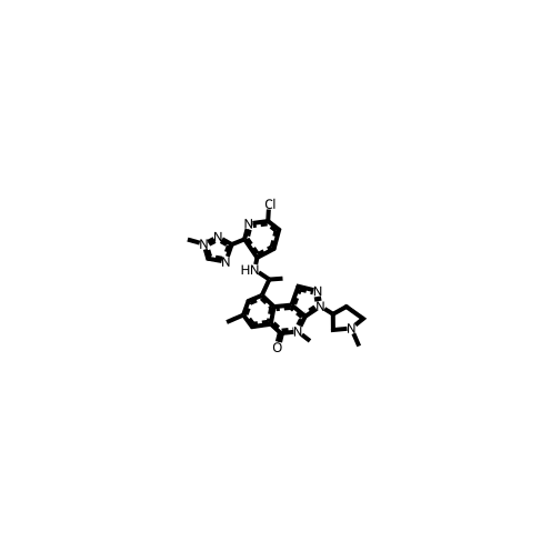 Cc1cc(C(C)Nc2ccc(Cl)nc2-c2ncn(C)n2)c2c(c1)c(=O)n(C)c1c2cnn1C1CCN(C)C1